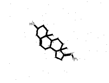 CC12CCC(O)CC1=CCC1C2CCC2(C)/C(=N/N)CCC12